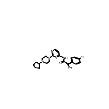 CC(C)C(C(=O)Nc1ccnc(N2CCN(C3CCCC3)CC2)n1)c1ccc(Cl)cc1